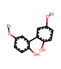 CCOc1ccc(O)c(-c2cc(OCC)ccc2O)c1